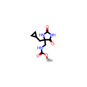 CC(C)(C)OC(=O)NCC1(CC2CC2)NC(=O)NC1=O